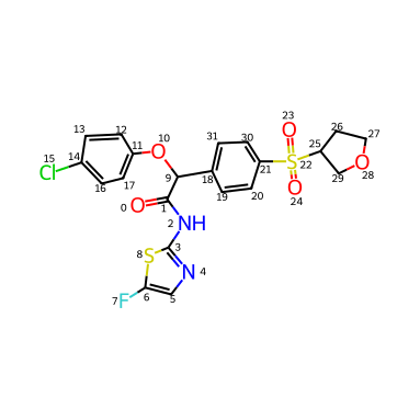 O=C(Nc1ncc(F)s1)C(Oc1ccc(Cl)cc1)c1ccc(S(=O)(=O)C2CCOC2)cc1